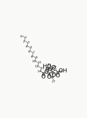 CCCCCCCCCCCCCCCC(=O)OC(=O)C(CC(=O)O)(OCC)S(=O)(=O)O